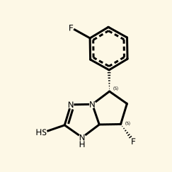 Fc1cccc([C@@H]2C[C@H](F)C3NC(S)=NN32)c1